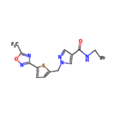 CC(C)CNC(=O)c1cnn(Cc2ccc(-c3noc(C(F)(F)F)n3)s2)c1